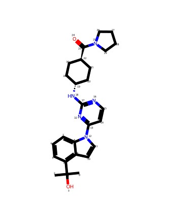 CC(C)(O)c1cccc2c1ccn2-c1ccnc(N[C@H]2CC[C@H](C(=O)N3CCCC3)CC2)n1